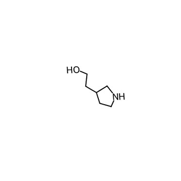 OCCC1CCNC1